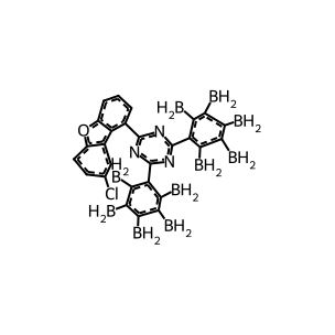 Bc1c(B)c(B)c(-c2nc(-c3c(B)c(B)c(B)c(B)c3B)nc(-c3cccc4oc5ccc(Cl)cc5c34)n2)c(B)c1B